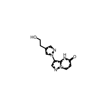 O=c1ccn2ncc(-n3cc(CCO)cn3)c2[nH]1